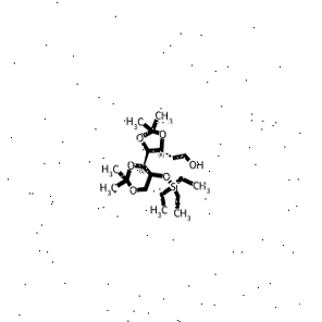 CC[Si](CC)(CC)OC1COC(C)(C)O[C@H]1C1OC(C)(C)O[C@@H]1CCO